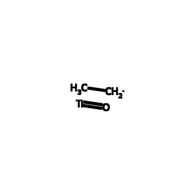 [CH2]C.[O]=[Ti]